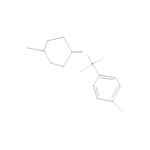 Cc1ccc(C(F)(F)OC2CCC(C)CC2)cc1